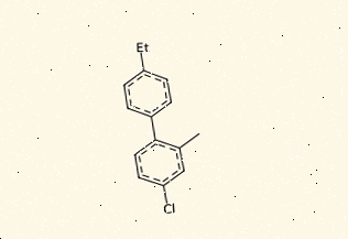 CCc1ccc(-c2ccc(Cl)cc2C)cc1